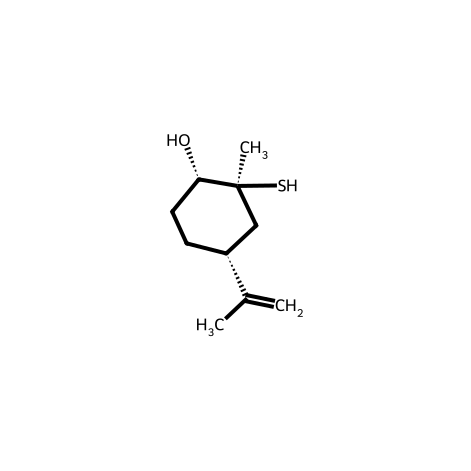 C=C(C)[C@@H]1CC[C@H](O)[C@@](C)(S)C1